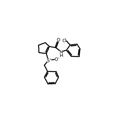 O=C(Nc1ccccc1Cl)C1=C([S+]([O-])Cc2ccccc2)CCC1